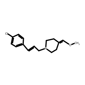 COC=C1CCN(CC=Cc2ccc(Cl)cc2)CC1